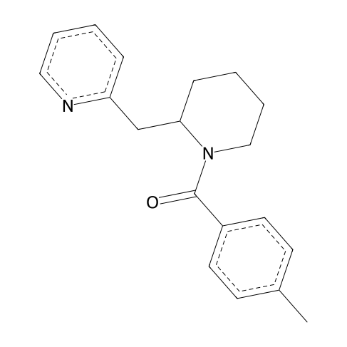 Cc1ccc(C(=O)N2CCCCC2Cc2ccccn2)cc1